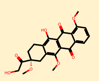 COc1cccc2c1C(=O)c1c(O)c3c(c(OC)c1C2=O)C[C@@](OC)(C(=O)CO)CC3